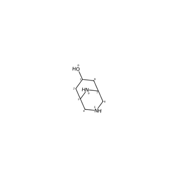 OC1CC2CNCC(C1)N2